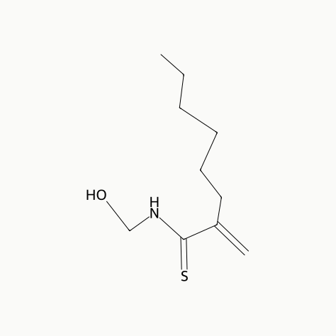 C=C(CCCCCC)C(=S)NCO